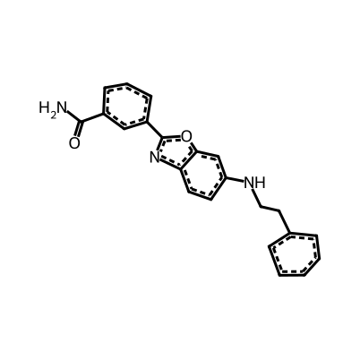 NC(=O)c1cccc(-c2nc3ccc(NCCc4ccccc4)cc3o2)c1